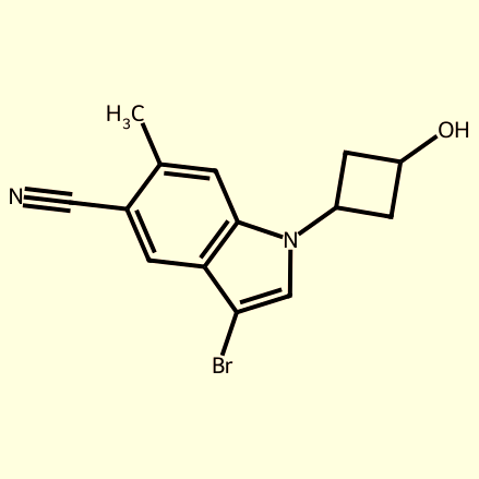 Cc1cc2c(cc1C#N)c(Br)cn2C1CC(O)C1